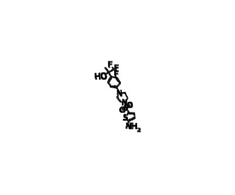 CC(O)(c1ccc(N2CCN(S(=O)(=O)c3ccc(N)s3)CC2)cc1)C(F)(F)F